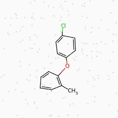 Cc1[c]cccc1Oc1ccc(Cl)cc1